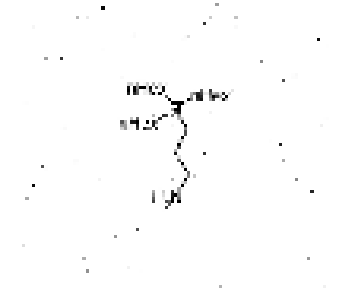 CCCCCC[Si](CCCN)(CCCCCC)CCCCCC